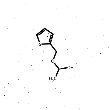 CC(O)OCc1cccs1